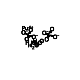 O.O.O.O.O=S(=O)([O-])[O-].O=S(=O)([O-])[O-].[Pu+4]